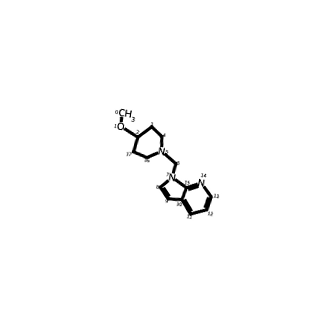 COC1CCN(Cn2ccc3cccnc32)CC1